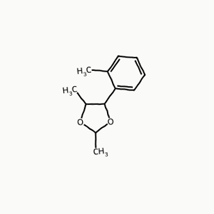 Cc1ccccc1C1OC(C)OC1C